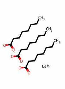 CCCCCCCC(=O)[O-].CCCCCCCC(=O)[O-].CCCCCCCC(=O)[O-].[Ce+3]